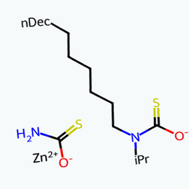 CCCCCCCCCCCCCCCCN(C([O-])=S)C(C)C.NC([O-])=S.[Zn+2]